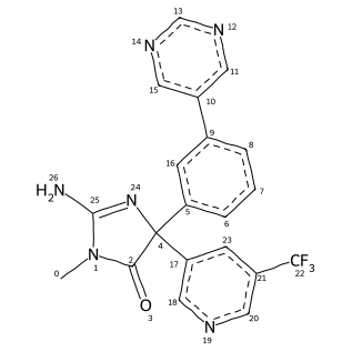 CN1C(=O)C(c2cccc(-c3cncnc3)c2)(c2cncc(C(F)(F)F)c2)N=C1N